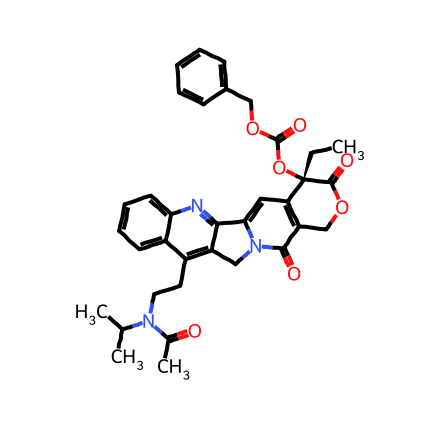 CC[C@@]1(OC(=O)OCc2ccccc2)C(=O)OCc2c1cc1n(c2=O)Cc2c-1nc1ccccc1c2CCN(C(C)=O)C(C)C